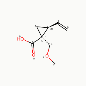 C=C[C@@H]1C[C@]1(COC)C(=O)O